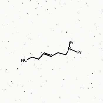 CC(C)N(CCC=CCCC#N)C(C)C